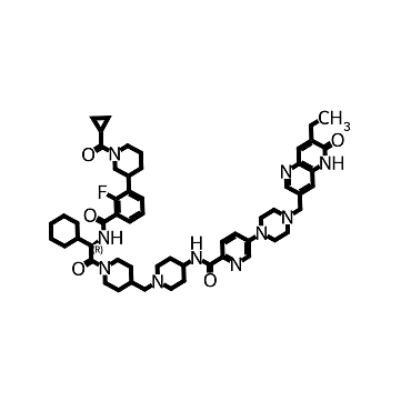 CCc1cc2ncc(CN3CCN(c4ccc(C(=O)NC5CCN(CC6CCN(C(=O)[C@H](NC(=O)c7cccc(C8CCCN(C(=O)C9CC9)C8)c7F)C7CCCCC7)CC6)CC5)nc4)CC3)cc2[nH]c1=O